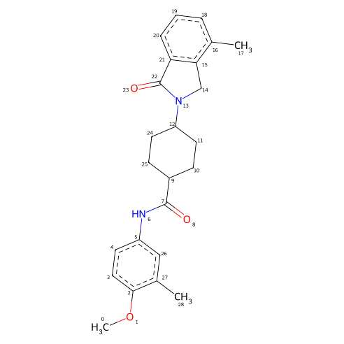 COc1ccc(NC(=O)C2CCC(N3Cc4c(C)cccc4C3=O)CC2)cc1C